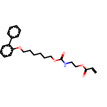 C=CC(=O)OCCNC(=O)OCCCCCCOc1ccccc1-c1ccccc1